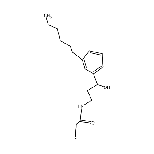 CCCCCCc1cccc(C(O)CCNC(=O)CF)c1